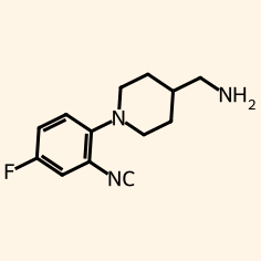 [C-]#[N+]c1cc(F)ccc1N1CCC(CN)CC1